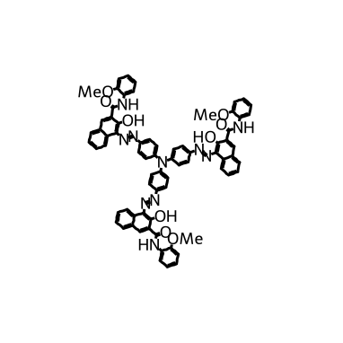 COc1ccccc1NC(=O)c1cc2ccccc2c(N=Nc2ccc(N(c3ccc(N=Nc4c(O)c(C(=O)Nc5ccccc5OC)cc5ccccc45)cc3)c3ccc(N=Nc4c(O)c(C(=O)Nc5ccccc5OC)cc5ccccc45)cc3)cc2)c1O